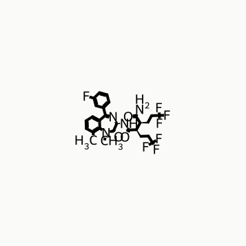 Cc1cccc2c1N(C)C(=O)[C@@H](NC(=O)[C@H](CCC(F)(F)F)[C@H](CCC(F)(F)F)C(N)=O)N=C2c1cccc(F)c1